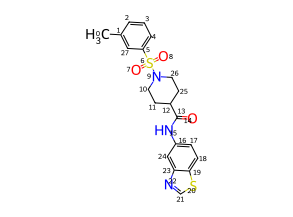 Cc1cccc(S(=O)(=O)N2CCC(C(=O)Nc3ccc4scnc4c3)CC2)c1